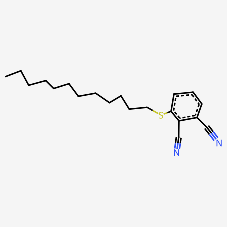 CCCCCCCCCCCCSc1cccc(C#N)c1C#N